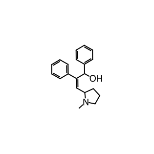 CN1CCCC1C=C(c1ccccc1)C(O)c1ccccc1